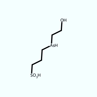 O=S(=O)(O)CCC[AsH]CCO